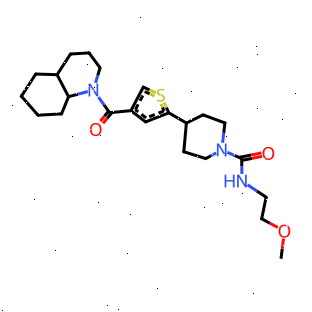 COCCNC(=O)N1CCC(c2cc(C(=O)N3CCCC4CCCCC43)cs2)CC1